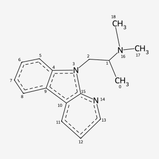 CC(Cn1c2ccccc2c2cccnc21)N(C)C